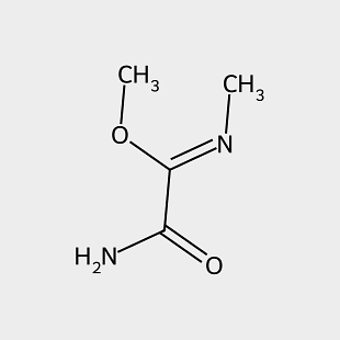 C/N=C(\OC)C(N)=O